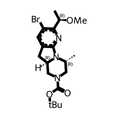 CO[C@H](C)c1nc2c(cc1Br)C[C@@H]1CN(C(=O)OC(C)(C)C)C[C@@H](C)N21